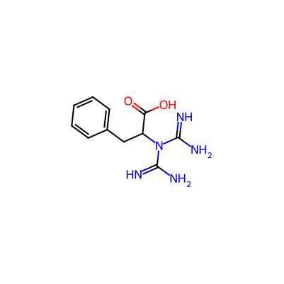 N=C(N)N(C(=N)N)C(Cc1ccccc1)C(=O)O